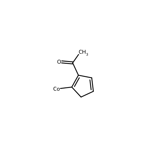 CC(=O)C1=[C]([Co])CC=C1